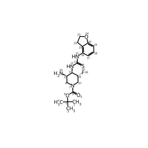 CC(C)(C)OC(=O)N1C[C@@H](N)[C@@H](NC(=S)Nc2cccc3c2CCO3)[C@H](F)C1